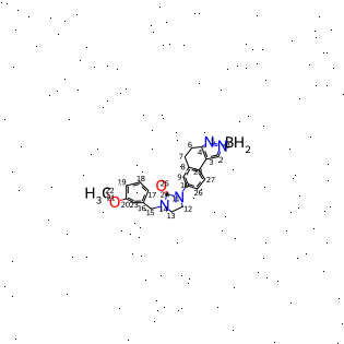 Bn1cc2c(n1)CCc1cc(N3CCN(Cc4cccc(OC)c4)C3=O)ccc1-2